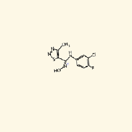 Cc1nnsc1/C(=N\O)Nc1ccc(F)c(Cl)c1